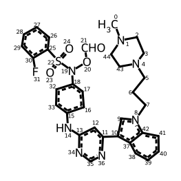 CN1CCN(CCCn2cc(-c3cc(Nc4ccc(N(OC=O)S(=O)(=O)c5ccccc5F)cc4)ncn3)c3ccccc32)CC1